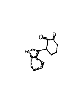 O=C1CCCC(c2c[nH]c3ccccc23)C1=O